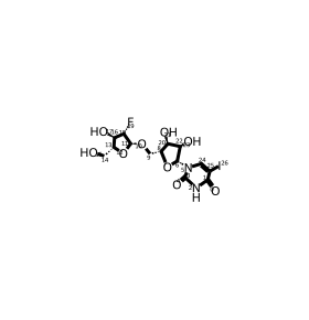 O=c1[nH]c(=O)n([C@@H]2O[C@H](CO[C@@H]3O[C@H](CO)[C@@H](O)[C@@H]3F)[C@@H](O)[C@H]2O)cc1I